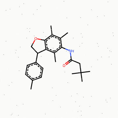 Cc1ccc(C2COc3c(C)c(C)c(NC(=O)CC(C)(C)C)c(C)c32)cc1